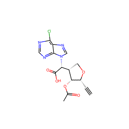 C#C[C@H]1OC[C@@H]([C@H](C(=O)O)n2cnc3c(Cl)ncnc32)[C@H]1OC(C)=O